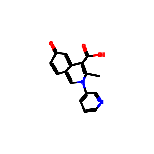 Cc1c(C(=O)O)c2cc(=O)ccc-2cn1-c1cccnc1